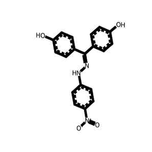 O=[N+]([O-])c1ccc(NN=C(c2ccc(O)cc2)c2ccc(O)cc2)cc1